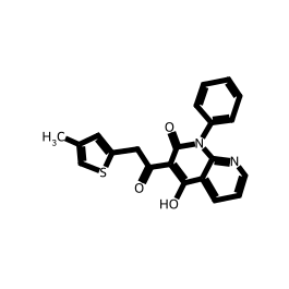 Cc1csc(CC(=O)c2c(O)c3cccnc3n(-c3ccccc3)c2=O)c1